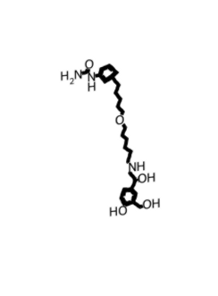 NC(=O)Nc1cccc(CCCCCOCCCCCCNC[C@@H](O)c2ccc(O)c(CO)c2)c1